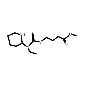 CCN(C(=S)SCCCC(=O)OC)C1CCCCN1